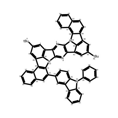 CC(C)(C)c1cc2c3nc4c(nc3n3c5c(-c6ccc7c(c6)c6ccccc6n7-c6ccccc6)cc6ccccc6c5c(c1)c23)c1cc(C(C)(C)C)cc2c3ccc5ccccc5c3n4c21